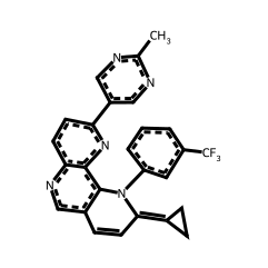 Cc1ncc(-c2ccc3ncc4c(c3n2)N(c2cccc(C(F)(F)F)c2)C(=C2CC2)C=C4)cn1